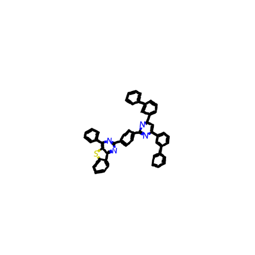 c1ccc(-c2cccc(-c3cc(-c4cccc(-c5ccccc5)c4)nc(-c4ccc(-c5nc(-c6ccccc6)c6sc7ccccc7c6n5)cc4)n3)c2)cc1